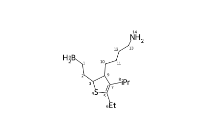 BCCC1SC(CC)=C(C(C)C)C1CCCCN